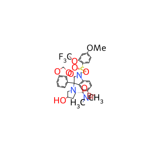 COc1ccc(S(=O)(=O)N2C(=O)C(c3cccc4c3OCO4)(N3C[C@H](O)C[C@H]3C(=O)N(C)C)c3cc(Br)ccc32)c(OC(F)(F)F)c1